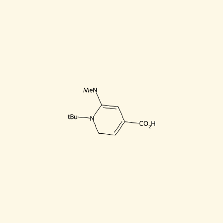 CNC1=CC(C(=O)O)=CCN1C(C)(C)C